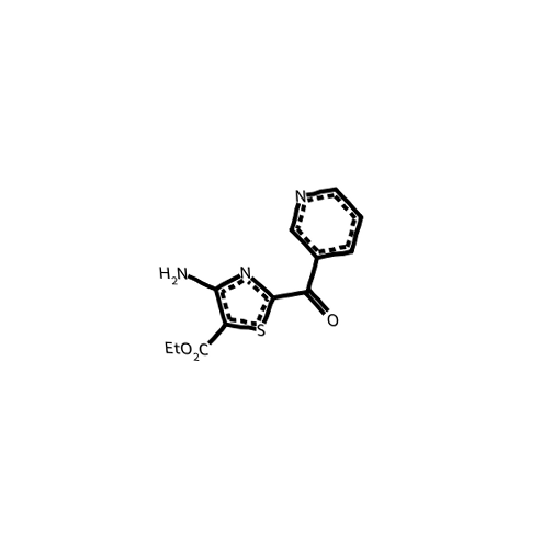 CCOC(=O)c1sc(C(=O)c2cccnc2)nc1N